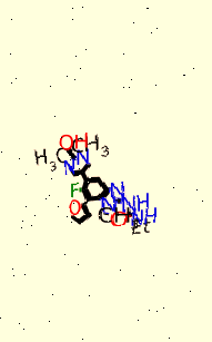 CCNC(=O)Nc1nc2cc(-c3cnc(C(C)(C)O)nc3)c(F)c([C@H]3CCCO3)c2n1C